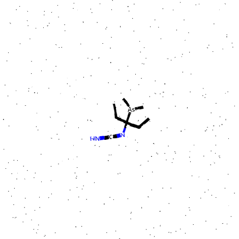 CCC(CC)(N=C=N)[As](C)C